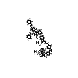 Cc1c(OC2CCC(CCC[C@@H](C)N3CCN(c4cccc5c(-c6ccc(OCc7ccccc7)nc6OCc6ccccc6)nn(C)c45)CC3)CC2)cccc1B1OC(C)(C)C(C)(C)O1